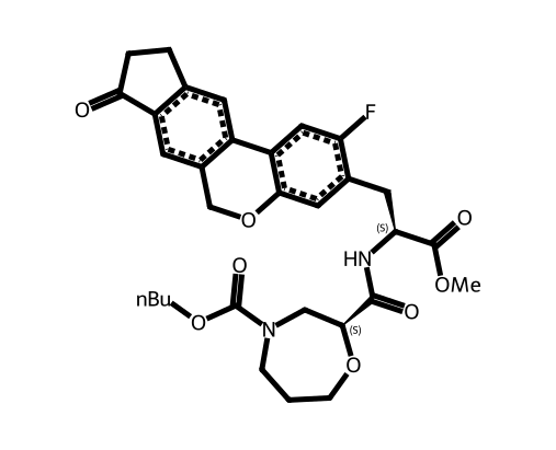 CCCCOC(=O)N1CCCO[C@H](C(=O)N[C@@H](Cc2cc3c(cc2F)-c2cc4c(cc2CO3)C(=O)CC4)C(=O)OC)C1